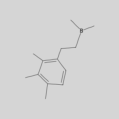 CB(C)CCc1ccc(C)c(C)c1C